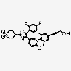 Cc1cc(C#CCO)cc(C)c1-n1cc(-c2nc(C3CCS(=O)(=O)CC3)oc2-c2ccc(F)cc2F)ccc1=O